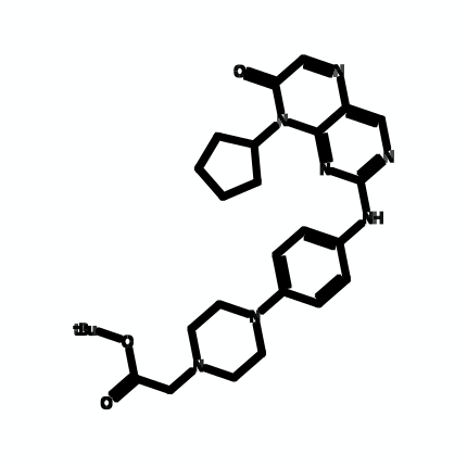 CC(C)(C)OC(=O)CN1CCN(c2ccc(Nc3ncc4ncc(=O)n(C5CCCC5)c4n3)cc2)CC1